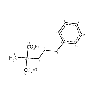 CCOC(=O)C(C)(CCCc1ccccc1)C(=O)OCC